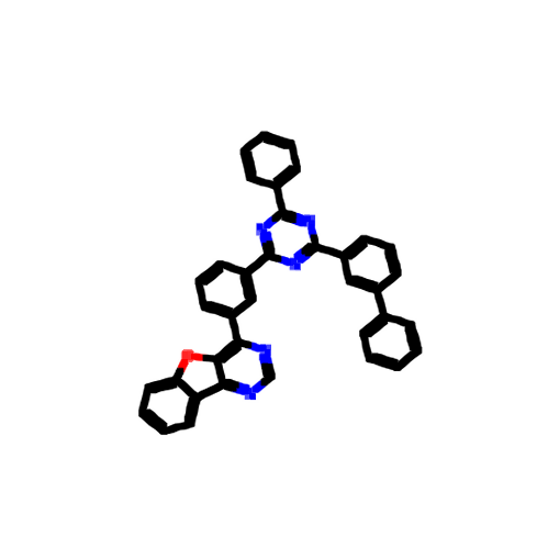 c1ccc(-c2cccc(-c3nc(-c4ccccc4)nc(-c4cccc(-c5ncnc6c5oc5ccccc56)c4)n3)c2)cc1